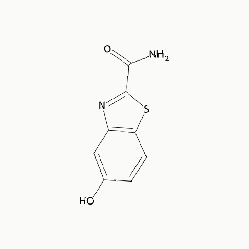 NC(=O)c1nc2cc(O)ccc2s1